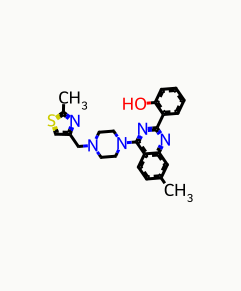 Cc1ccc2c(N3CCN(Cc4csc(C)n4)CC3)nc(-c3ccccc3O)nc2c1